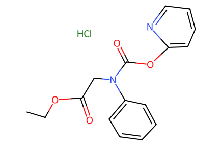 CCOC(=O)CN(C(=O)Oc1ccccn1)c1ccccc1.Cl